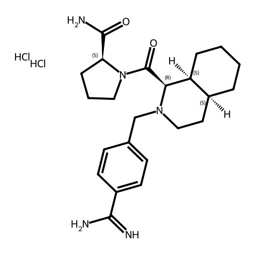 Cl.Cl.N=C(N)c1ccc(CN2CC[C@@H]3CCCC[C@@H]3[C@@H]2C(=O)N2CCC[C@H]2C(N)=O)cc1